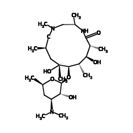 CC1CN(C)C[C@H](C)C[C@@](C)(O)[C@H](O[C@@H]2O[C@H](C)C[C@H](N(C)C)[C@H]2O)[C@@H](C)[C@H](O)[C@@H](C)C(=O)N1